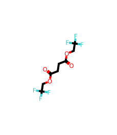 O=C(CCC(=O)OCC(F)(F)F)OCC(F)(F)F